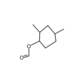 CC1CCC(OC=O)C(C)C1